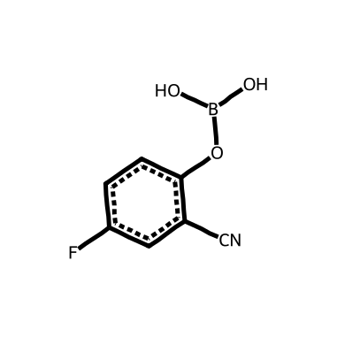 N#Cc1cc(F)ccc1OB(O)O